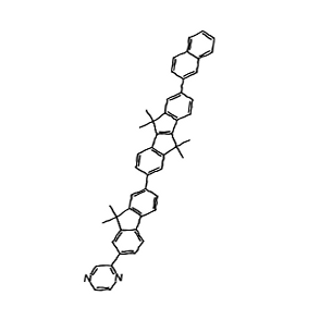 CC1(C)C2=C(c3ccc(-c4ccc5c(c4)C(C)(C)c4cc(-c6cnccn6)ccc4-5)cc31)C(C)(C)c1cc(-c3ccc4ccccc4c3)ccc12